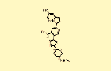 CC(=O)N[C@@H]1CC[C@@H](c2nnc(-c3cnc(-c4ccc5cc(C#N)cnn45)cc3NC(C)C)s2)OC1